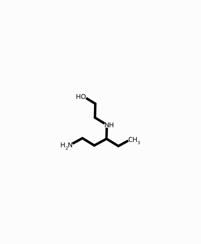 CCC(CCN)NCCO